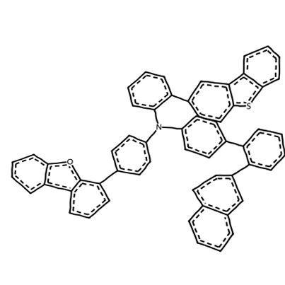 c1ccc(-c2ccc3ccccc3c2)c(-c2ccc(N(c3ccc(-c4cccc5c4oc4ccccc45)cc3)c3ccccc3-c3ccc4sc5ccccc5c4c3)cc2)c1